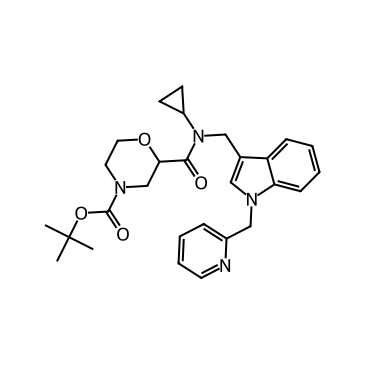 CC(C)(C)OC(=O)N1CCOC(C(=O)N(Cc2cn(Cc3ccccn3)c3ccccc23)C2CC2)C1